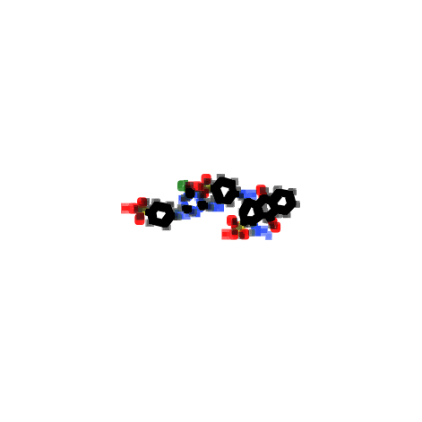 Nc1c(S(=O)(=O)O)cc(Nc2ccc(S(=O)(=O)O)c(Nc3nc(Cl)nc(Nc4ccc(S(=O)(=O)O)cc4)n3)c2)c2c1C(=O)c1ccccc1C2=O